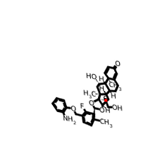 Cc1ccc(COc2ccccc2N)c(F)c1[C@@H]1O[C@@H]2C[C@H]3[C@@H]4CCC5=CC(=O)C=C[C@]5(C)[C@H]4[C@@H](O)C[C@]3(C)[C@]2(C(=O)CO)O1